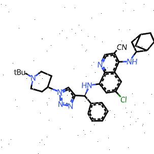 CC(C)(C)N1CCC(n2cc([C@@H](Nc3cc(Cl)cc4c(NC5CC6CCC5C6)c(C#N)cnc34)c3ccccc3)nn2)CC1